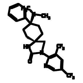 CN(C)[C@]1(c2ccccc2)CC[C@]2(CC1)CN(c1ncc(C(F)(F)F)cc1C(F)(F)F)C(=O)N2